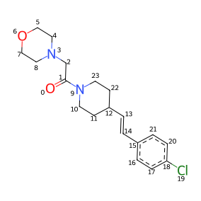 O=C(CN1CCOCC1)N1CCC(/C=C/c2ccc(Cl)cc2)CC1